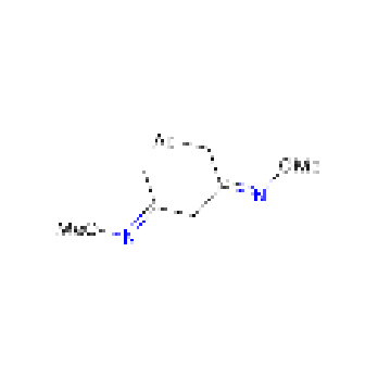 CO/N=C(\CC(C)=O)C/C(C)=N/OC